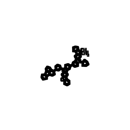 CC1(C)c2ccccc2-c2cc3c4cc(-c5ccc6c(c5)c5cc7c(cc5n6-c5cccc(-c6ccc8c9c(cccc69)-c6ccccc6-8)c5)oc5ccccc57)ccc4n(-c4ccccc4)c3cc21